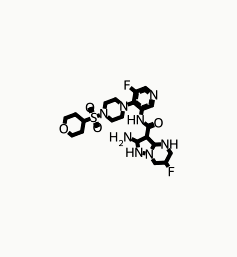 NC1NN2CC(F)CNC2C1C(=O)Nc1cncc(F)c1N1CCN(S(=O)(=O)C2CCOCC2)CC1